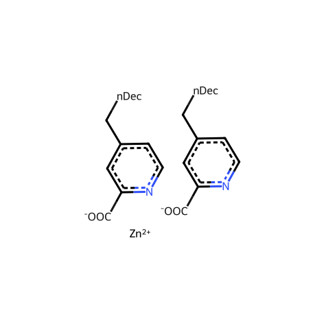 CCCCCCCCCCCc1ccnc(C(=O)[O-])c1.CCCCCCCCCCCc1ccnc(C(=O)[O-])c1.[Zn+2]